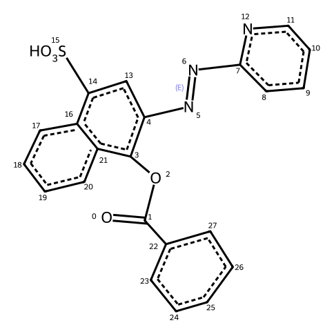 O=C(Oc1c(/N=N/c2ccccn2)cc(S(=O)(=O)O)c2ccccc12)c1ccccc1